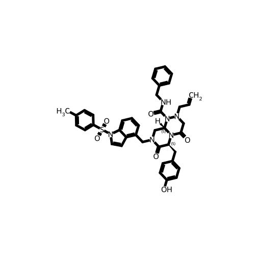 C=CCN1CC(=O)N2[C@@H](Cc3ccc(O)cc3)C(=O)N(Cc3cccc4c3ccn4S(=O)(=O)c3ccc(C)cc3)C[C@@H]2N1C(=O)NCc1ccccc1